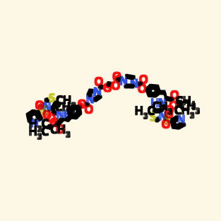 CC(C)(C)OC(=O)[C@H](Cc1ccc(OC(=O)N2CCN(C(=O)OCOC(=O)N3CCN(C(=O)Oc4ccc(C[C@H](NC(=O)[C@H]5N(S(=O)(=O)c6cccnc6)CSC5(C)C)C(=O)OC(C)(C)C)cc4)CC3)CC2)cc1)NC(=O)[C@H]1N(S(=O)(=O)c2cccnc2)CSC1(C)C